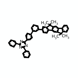 CC1(C)c2ccccc2-c2cc3c(cc21)-c1ccc(-c2cccc(-c4ccc(-c5nc(-c6ccccc6)nc(-c6ccccc6)n5)cc4)c2)cc1C3(C)C